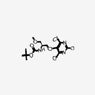 COC[C@@H](COc1c(Cl)nc(Cl)nc1Cl)NC(=O)OC(C)(C)C